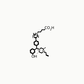 C=CCN1C[C@H](C)N(C(c2ccc(-c3nnn(CCCCC(=O)O)n3)cc2)c2cccc(O)c2)C[C@H]1C